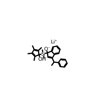 CC1=C(C)C(O)([Si](C)(C)C2([O-])C=C(C(C)c3ccccc3)c3ccccc32)C(C)=C1C.[Li+]